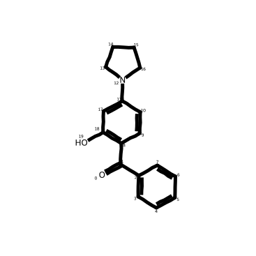 O=C(c1ccccc1)c1ccc(N2CCCC2)cc1O